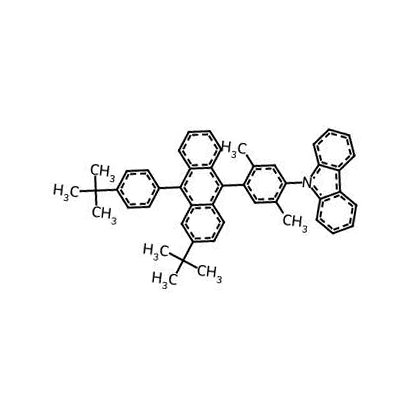 Cc1cc(-n2c3ccccc3c3ccccc32)c(C)cc1-c1c2ccccc2c(-c2ccc(C(C)(C)C)cc2)c2cc(C(C)(C)C)ccc12